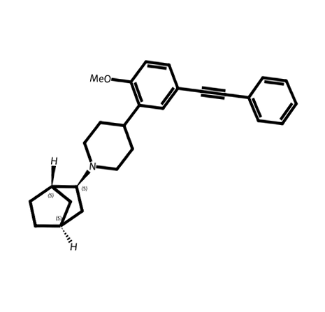 COc1ccc(C#Cc2ccccc2)cc1C1CCN([C@H]2C[C@H]3CC[C@H]2C3)CC1